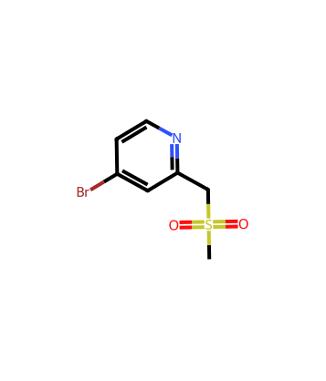 CS(=O)(=O)Cc1cc(Br)ccn1